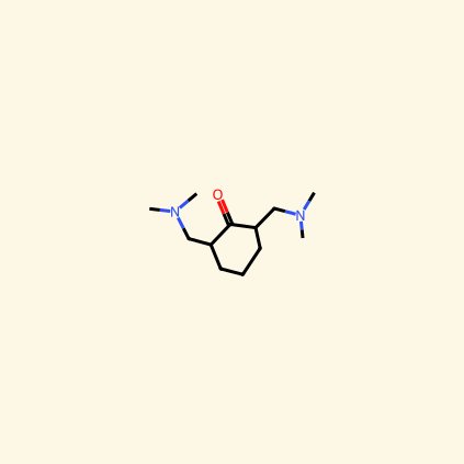 CN(C)CC1CCCC(CN(C)C)C1=O